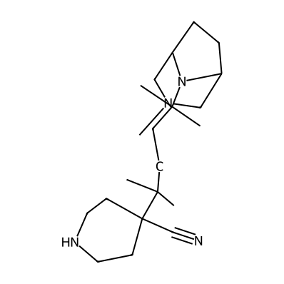 CN1CC2CCC(C1)N2C(C)(C)CCC(C)(C)C1(C#N)CCNCC1